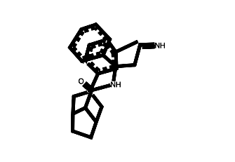 Cc1cc(N2CC3CCC(C2)C3C(=O)NC(CC=N)c2ccccc2)ncn1